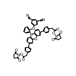 N#Cc1cc(C#N)cc(Oc2ccccc2N2c3ccc(-c4ccc(CC(=O)ON5C(=O)CCC5=O)cc4)cc3Sc3cc(-c4ccc(CC(=O)ON5C(=O)CCC5=O)cc4)ccc32)c1